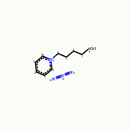 CCCCCCCCCCCC[n+]1ccccc1.[N-]=[N+]=[N-]